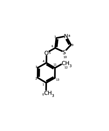 Cc1ccc(Oc2cn[c]s2)c(C)c1